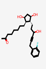 CC(=O)CCCCCC[C@@H]1[C@@H](CCC(O)C#CCc2ccccc2F)[C@H](O)C[C@@H]1O